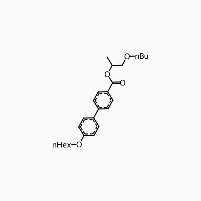 CCCCCCOc1ccc(-c2ccc(C(=O)OC(C)COCCCC)cc2)cc1